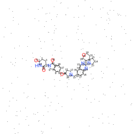 O=C1CCC(N2Cc3cc(O[C@H]4CCN(Cc5ccc6nc(N7CCCC78CCOCC8)ncc6c5)C4)ccc3C2=O)C(=O)N1